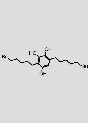 CC(C)(C)CCCCCc1cc(O)c(CCCCCC(C)(C)C)c(O)c1O